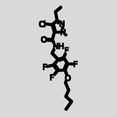 CCCCCOc1c(F)c(F)c(CNC(=O)c2c(Cl)c(CC)nn2C)c(F)c1F